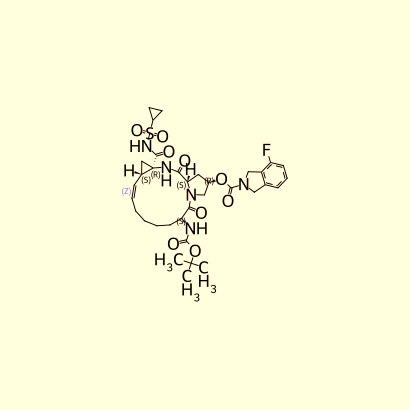 CC(C)(C)OC(=O)N[C@H]1CCCC/C=C\[C@@H]2C[C@@]2(C(=O)NS(=O)(=O)C2CC2)NC(=O)[C@@H]2C[C@@H](OC(=O)N3Cc4cccc(F)c4C3)CN2C1=O